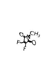 CN1C(=O)C(F)=C(F)C1=O